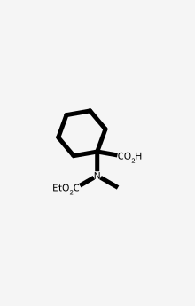 CCOC(=O)N(C)C1(C(=O)O)CCCCC1